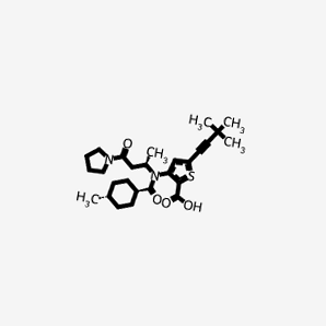 C[C@H](CC(=O)N1CCCC1)N(c1cc(C#CC(C)(C)C)sc1C(=O)O)C(=O)[C@H]1CC[C@H](C)CC1